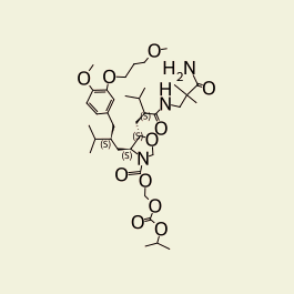 COCCCOc1cc(C[C@@H](C[C@H]2[C@H](C[C@H](C(=O)NCC(C)(C)C(N)=O)C(C)C)OCN2C(=O)OCOC(=O)OC(C)C)C(C)C)ccc1OC